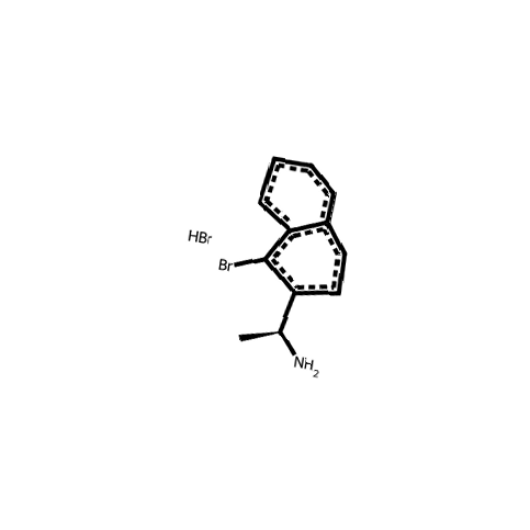 Br.C[C@H](N)c1ccc2ccccc2c1Br